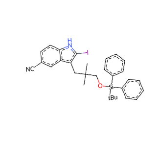 CC(C)(CO[Si](c1ccccc1)(c1ccccc1)C(C)(C)C)Cc1c(I)[nH]c2ccc(C#N)cc12